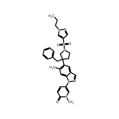 CCCn1cc(S(=O)(=O)N2CCC(Cc3ccccc3)(c3cc4cnn(-c5ccc(=O)n(C)c5)c4cc3C)C2)cn1